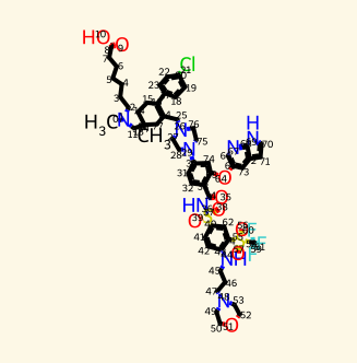 CN(CCCCCCC(=O)O)C[C@]1(C)CCC(c2ccc(Cl)cc2)=C(CN2CCN(c3ccc(C(=O)NS(=O)(=O)c4ccc(NCCCN5CCOCC5)c(S(=O)(=O)C(F)(F)F)c4)c(Oc4cnc5[nH]ccc5c4)c3)CC2)C1